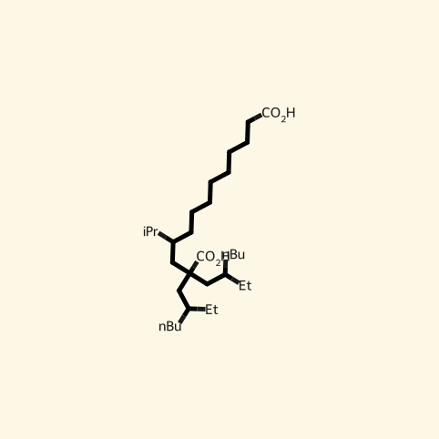 CCCCC(CC)CC(CC(CC)CCCC)(CC(CCCCCCCCC(=O)O)C(C)C)C(=O)O